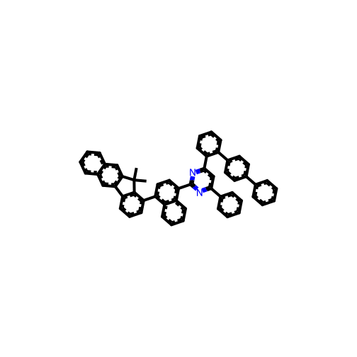 CC1(C)c2cc3ccccc3cc2-c2cccc(-c3ccc(-c4nc(-c5ccccc5)cc(-c5ccccc5-c5ccc(-c6ccccc6)cc5)n4)c4ccccc34)c21